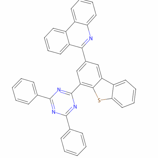 c1ccc(-c2nc(-c3ccccc3)nc(-c3cc(-c4nc5ccccc5c5ccccc45)cc4c3sc3ccccc34)n2)cc1